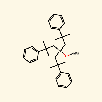 CCCC[O][Zr]([CH2]C(C)(C)c1ccccc1)([CH2]C(C)(C)c1ccccc1)[CH2]C(C)(C)c1ccccc1